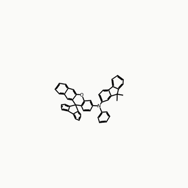 CC1(C)c2ccccc2-c2ccc(N(c3ccccc3)c3ccc4c(c3)Oc3cc5ccccc5cc3C43c4ccccc4-c4ccccc43)cc21